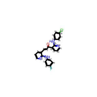 O=C(C=Cc1cccnc1Nc1ccc(F)cc1)c1cccnc1Nc1ccc(Cl)cc1